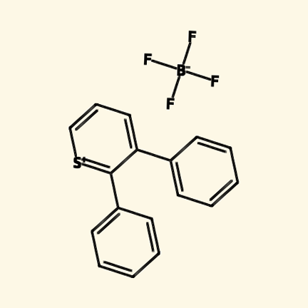 F[B-](F)(F)F.c1ccc(-c2ccc[s+]c2-c2ccccc2)cc1